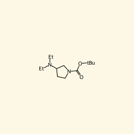 CCN(CC)C1CCN(C(=O)OC(C)(C)C)C1